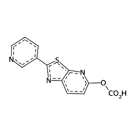 O=C(O)Oc1ccc2nc(-c3cccnc3)sc2n1